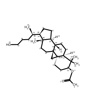 CC(=O)O[C@H]1CC[C@]23C[C@]24CC[C@]2(C)[C@@H]([C@H](C)CCCO)CC[C@H]2[C@@H]4CC[C@H]3C1(C)C